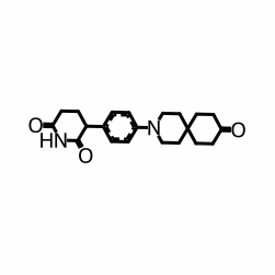 O=C1CCC2(CC1)CCN(c1ccc(C3CCC(=O)NC3=O)cc1)CC2